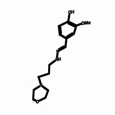 COc1cc(/C=N/NCCCN2CCOCC2)ccc1O